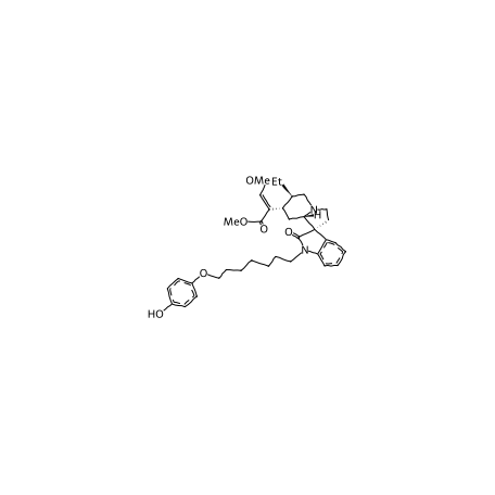 CC[C@H]1CN2CC[C@]3(C(=O)N(CCCCCCCOc4ccc(O)cc4)c4ccccc43)[C@@H]2C[C@@H]1/C(=C\OC)C(=O)OC